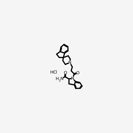 Cl.NC(=O)C1Cc2ccccc2N1C(=O)CCN1CCC2(CCc3ccccc32)CC1